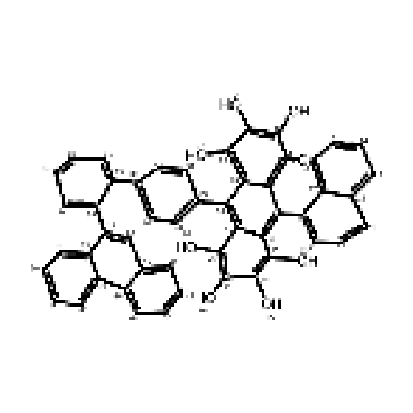 Oc1c(O)c(O)c2c(-c3cccc4ccccc34)c3c(O)c(O)c(O)c(O)c3c(-c3ccc(-c4ccccc4-c4cc5ccccc5c5ccccc45)cc3)c2c1O